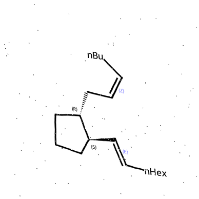 CCCC/C=C\C[C@H]1CCC[C@@H]1/C=C/CCCCCC